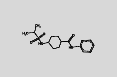 CC(C)S(=O)(=O)NC1CCC(C(=O)Nc2ccccc2)CC1